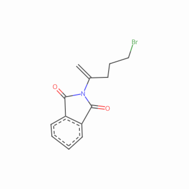 C=C(CCCBr)N1C(=O)c2ccccc2C1=O